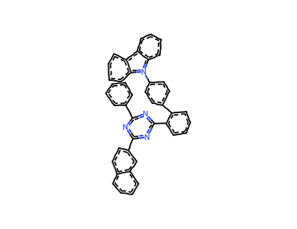 c1ccc(-c2nc(-c3ccc4ccccc4c3)nc(-c3ccccc3-c3ccc(-n4c5ccccc5c5ccccc54)cc3)n2)cc1